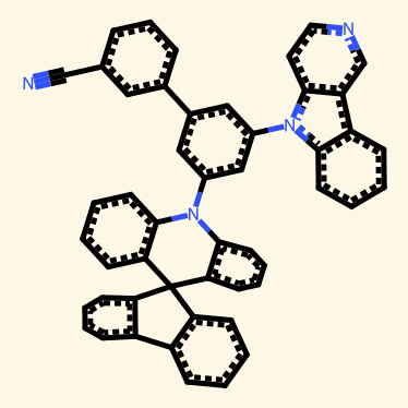 N#Cc1cccc(-c2cc(N3c4ccccc4C4(c5ccccc5-c5ccccc54)c4ccccc43)cc(-n3c4ccccc4c4cnccc43)c2)c1